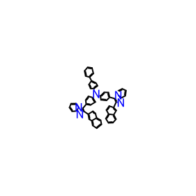 c1ccc(-c2ccc(N(c3ccc(-c4c(-c5ccc6ccccc6c5)nc5ccccn45)cc3)c3ccc(-c4c(-c5ccc6ccccc6c5)nc5ccccn45)cc3)cc2)cc1